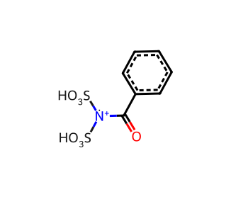 O=C(c1ccccc1)[N+](S(=O)(=O)O)S(=O)(=O)O